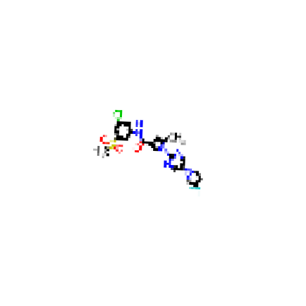 Cc1cc(C(=O)Nc2cc(Cl)cc(S(C)(=O)=O)c2)cn1-c1ncc(N2CCC(F)(F)C2)cn1